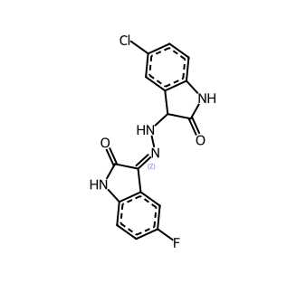 O=C1Nc2ccc(F)cc2/C1=N/NC1C(=O)Nc2ccc(Cl)cc21